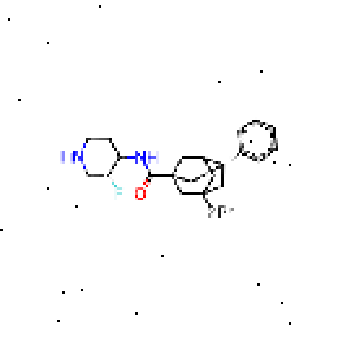 CCC[C@]12CC3CC(C(=O)N[C@@H]4CCNC[C@H]4F)(C1)C[C@]3(c1ccccc1)C2